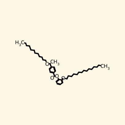 CCCCCCCCCCCCCCCOc1ccccc1OC(=O)c1ccc(C(C)OCCCCCCCCCCCC)cc1